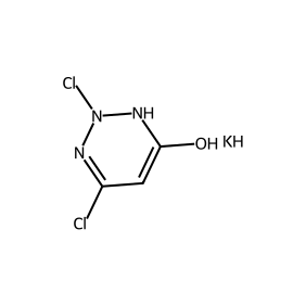 OC1=CC(Cl)=NN(Cl)N1.[KH]